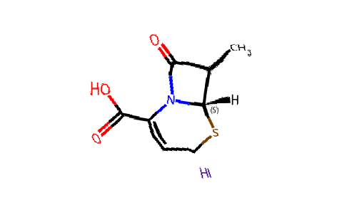 CC1C(=O)N2C(C(=O)O)=CCS[C@@H]12.I